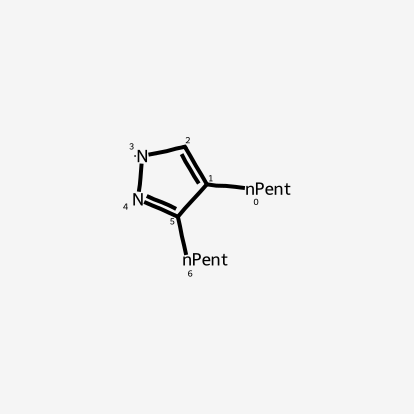 CCCCCC1=C[N]N=C1CCCCC